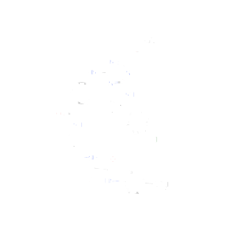 CC(C)(CNC(=O)C(=O)Nc1ccc(C(=O)O)cc1)CNC(=O)c1ccc(Nc2nc(NC3(c4ccc(Cl)cc4)CC3)nc(OCC(F)(F)F)n2)cc1